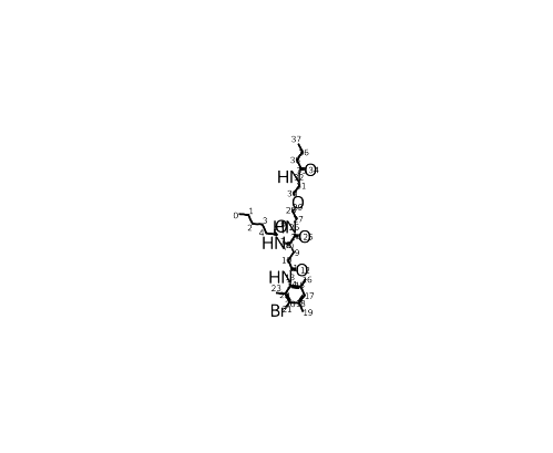 CCCCCC(=O)N[C@H](CCC(=O)Nc1c(C)cc(C)c(Br)c1C)C(=O)NCCOCCNC(=O)CCC